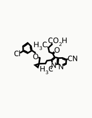 C[C@H](CC(=O)O)CC(=O)c1c(CCC2(COCc3cccc(Cl)c3)CC2)n(C)c2ncc(C#N)cc12